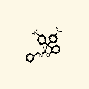 CN(C)c1ccc(C2(c3ccc(N(C)C)cc3)OC(=NCc3ccccc3)Oc3ccccc32)cc1